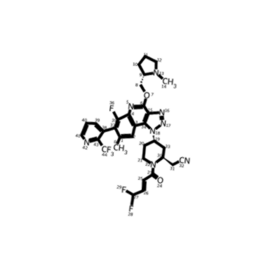 Cc1cc2c(nc(OC[C@@H]3CCCN3C)c3nnn([C@H]4CCN(C(=O)/C=C/C(F)F)[C@H](CC#N)C4)c32)c(F)c1-c1cccnc1C(F)(F)F